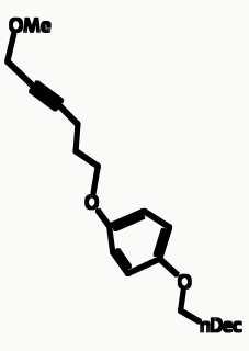 CCCCCCCCCCCOc1ccc(OCCCC#CCOC)cc1